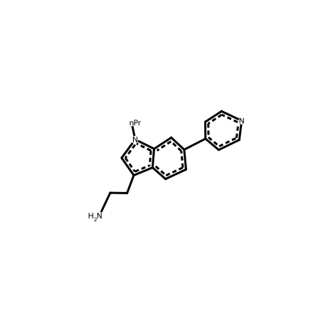 CCCn1cc(CCN)c2ccc(-c3ccncc3)cc21